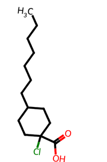 CCCCCCCC1CCC(Cl)(C(=O)O)CC1